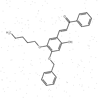 CCCCCOc1cc(C=CC(=O)c2ccccc2)c(O)cc1OCc1ccccc1